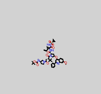 C=CC1CC1(NC(=O)[C@@H]1C[C@@H](Oc2cc(-c3ccccc3)nc3cc(OC)ccc23)CN1C(=O)[C@@H](CC(=O)N1CCC(N(C)C(=O)OC(C)(C)C)C1)C(C)(C)C)C(=O)NS(=O)(=O)C1CC1